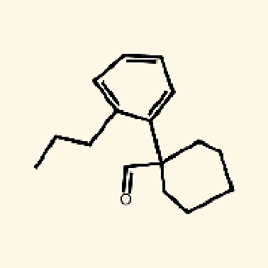 CCCc1ccccc1C1(C=O)CCCCC1